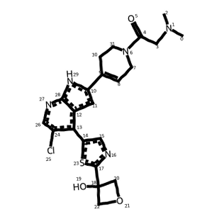 CN(C)CC(=O)N1CC=C(c2cc3c(-c4cnc(C5(O)COC5)s4)c(Cl)cnc3[nH]2)CC1